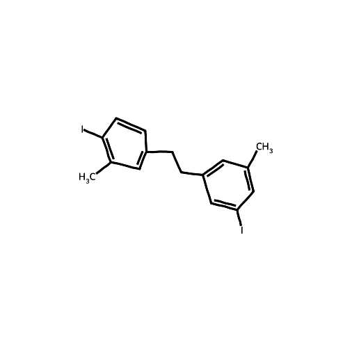 Cc1cc(I)cc(CCc2ccc(I)c(C)c2)c1